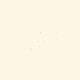 CC(=O)c1cn(Cc2ccc(F)cc2)c(=O)n(Cc2ccc(F)cc2)c1=O